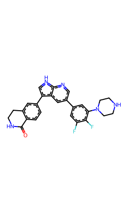 O=C1NCCc2cc(-c3c[nH]c4ncc(-c5cc(F)c(F)c(N6CCNCC6)c5)cc34)ccc21